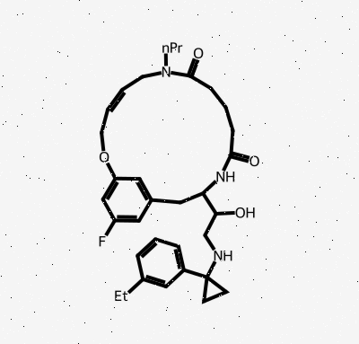 CCCN1C/C=C\COc2cc(F)cc(c2)CC(C(O)CNC2(c3cccc(CC)c3)CC2)NC(=O)CCCC1=O